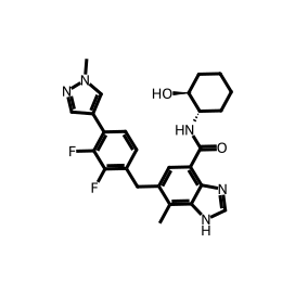 Cc1c(Cc2ccc(-c3cnn(C)c3)c(F)c2F)cc(C(=O)N[C@H]2CCCC[C@@H]2O)c2nc[nH]c12